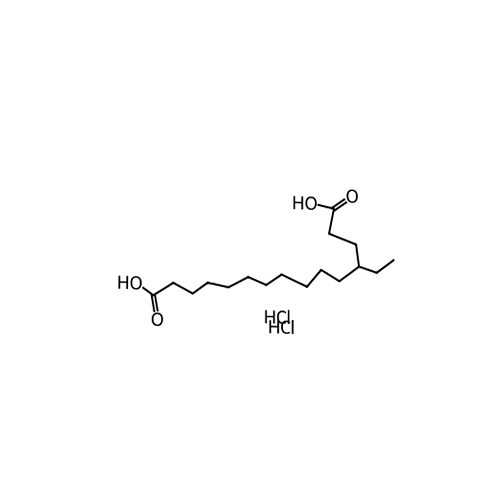 CCC(CCCCCCCCCCC(=O)O)CCC(=O)O.Cl.Cl